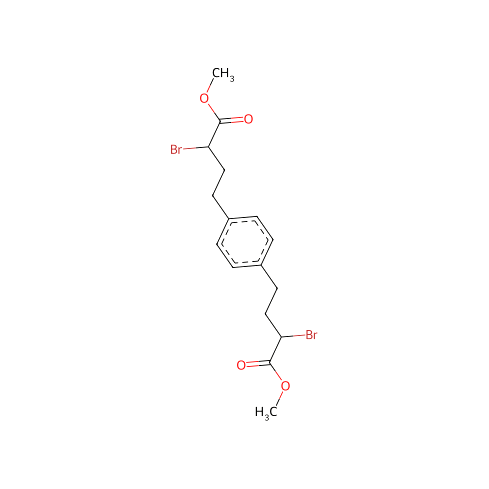 COC(=O)C(Br)CCc1ccc(CCC(Br)C(=O)OC)cc1